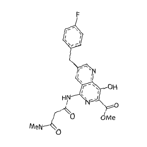 CNC(=O)CC(=O)Nc1nc(C(=O)OC)c(O)c2ncc(Cc3ccc(F)cc3)cc12